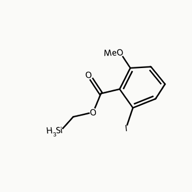 COc1cccc(I)c1C(=O)OC[SiH3]